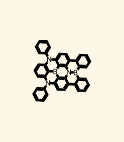 c1ccc(N2c3cccc4c3B3c5c2ccc2c5N5B(c6ccccc6-2)c2ccccc2-c2ccc(c3c25)N4c2ccccc2)cc1